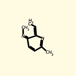 C/C=C1/N=C(C)C=C/C1=N/C